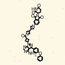 Nc1ncnc2c1c(-c1ccc(Oc3ccccc3)cc1)nn2C1CC(C(=O)N2CC(C3CN(c4ccc5c(c4)C(=O)N(C4CCC(=O)NC4=O)C5=O)C3)C2)C1